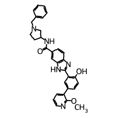 COc1ncccc1-c1ccc(O)c(-c2nc3ccc(C(=O)NC4CCN(Cc5ccccc5)C4)cc3[nH]2)c1